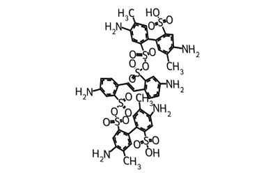 Cc1cc(-c2cc(C)c(N)cc2S(=O)(=O)OS(=O)(=O)c2cc(N)ccc2C=Cc2ccc(N)cc2S(=O)(=O)OS(=O)(=O)c2cc(N)c(C)cc2-c2cc(C)c(N)cc2S(=O)(=O)O)c(S(=O)(=O)O)cc1N